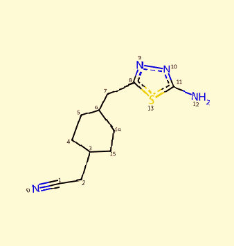 N#CCC1CCC(Cc2nnc(N)s2)CC1